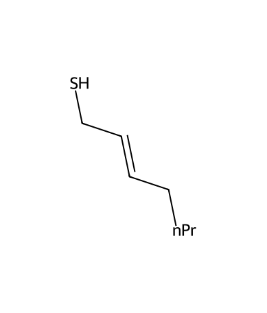 CCCC/C=C/CS